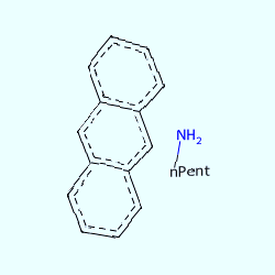 CCCCCN.c1ccc2cc3ccccc3cc2c1